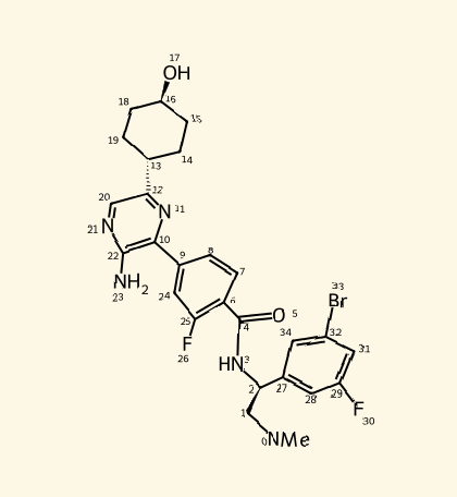 CNC[C@@H](NC(=O)c1ccc(-c2nc([C@H]3CC[C@H](O)CC3)cnc2N)cc1F)c1cc(F)cc(Br)c1